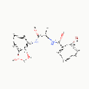 CC(NC(=O)c1ccccc1Br)C(=O)Nc1cccc2c1OCO2